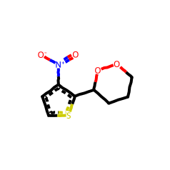 O=[N+]([O-])c1ccsc1C1CCCOO1